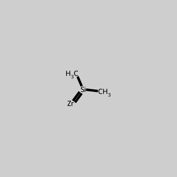 C[Si](C)=[Zr]